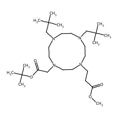 COC(=O)CCN1CCN(CC(=O)OC(C)(C)C)CCN(CC(C)(C)C)CCN(CC(C)(C)C)CC1